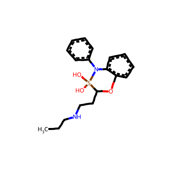 CCCNCCC1Oc2ccccc2N(c2ccccc2)S1(O)O